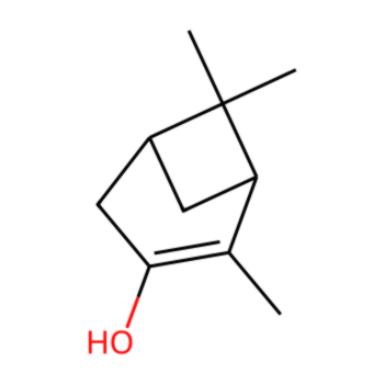 CC1=C(O)CC2CC1C2(C)C